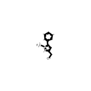 FC(F)(F)n1nc(CCl)cc1-c1ccccc1